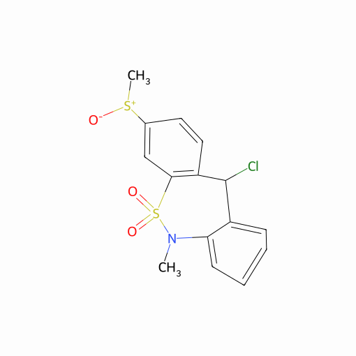 CN1c2ccccc2C(Cl)c2ccc([S+](C)[O-])cc2S1(=O)=O